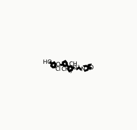 Cc1c(COc2cc(O)ccc2Cl)cccc1-c1cccc(OCCCN2CCC3(CCOC3)CC2)c1C